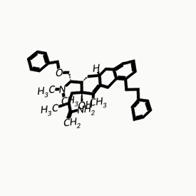 C=C(N)C(C)C[C@@]1(O)C(C)=C2Cc3c(CCc4ccccc4)cccc3C[C@H]2C[C@H]1[C@@H](COCc1ccccc1)N(C)C